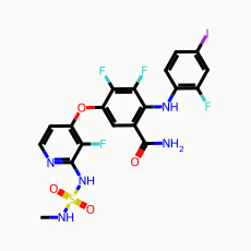 CNS(=O)(=O)Nc1nccc(Oc2cc(C(N)=O)c(Nc3ccc(I)cc3F)c(F)c2F)c1F